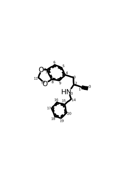 C#CC(Cc1ccc2c(c1)OCO2)NCc1ccccc1